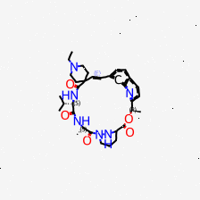 CCN1CCC2(/C=C/c3ccc4ccc(nc4c3)[C@@H](C)OC(=O)C3CCCN(N3)C(=O)[C@H](C)NC(=O)[C@H](C(C)C)NC2=O)CC1